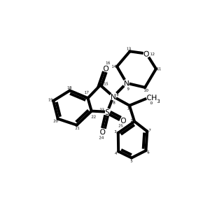 CC(c1ccccc1)[N+]1(N2CCOCC2)C(=O)c2ccccc2S1(=O)=O